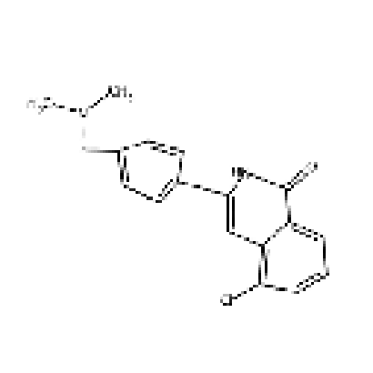 CN(C)Cc1ccc(-c2cc3c(Cl)cccc3c(=O)[nH]2)cc1